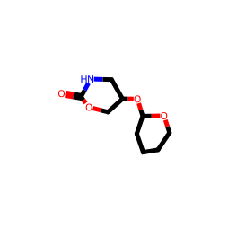 O=C1NCC(OC2CCCCO2)CO1